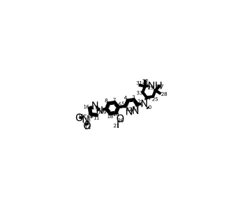 CN(c1ccc(-c2ccc(-n3cc([N+](=O)[O-])cn3)cc2OI)nn1)C1CC(C)(C)NC(C)(C)C1